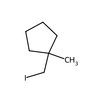 CC1(CI)CCCC1